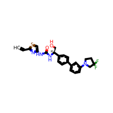 C#Cc1nc(NC(=O)N[C@@H](CO)c2ccc(-c3cccc(N4CCC(F)(F)C4)c3)cc2)cs1